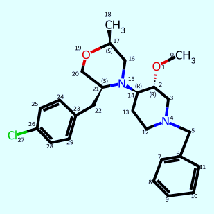 CO[C@@H]1CN(Cc2ccccc2)CC[C@H]1N1C[C@H](C)OC[C@@H]1Cc1ccc(Cl)cc1